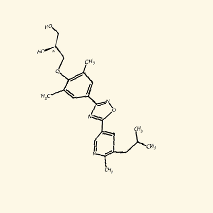 Cc1cc(-c2noc(-c3cnc(C)c(CC(C)C)c3)n2)cc(C)c1OC[C@@H](O)CO